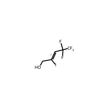 OC/C(I)=C/C(F)(F)C(F)(F)F